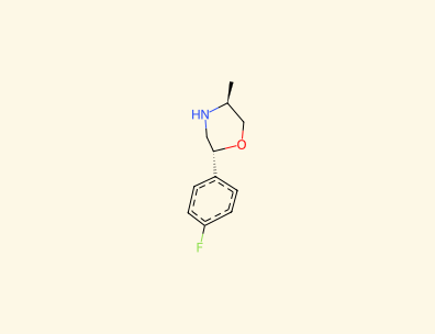 C[C@H]1CO[C@H](c2ccc(F)cc2)CN1